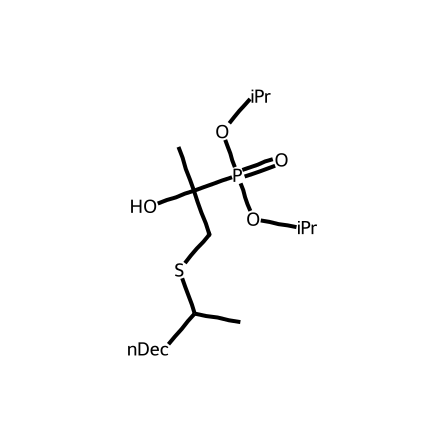 CCCCCCCCCCC(C)SCC(C)(O)P(=O)(OC(C)C)OC(C)C